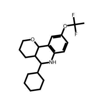 CC(F)(F)Oc1ccc2c(c1)C1OCCCC1C(C1CCCCC1)N2